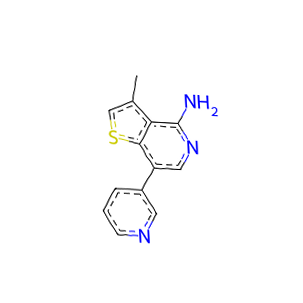 Cc1csc2c(-c3cccnc3)cnc(N)c12